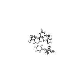 Cc1cc(Nc2ccn[nH]2)nc(N2C[C@@H](C(=O)O)C[C@@H](C3CCCCC3)C2)n1.O=C(O)C(F)(F)F